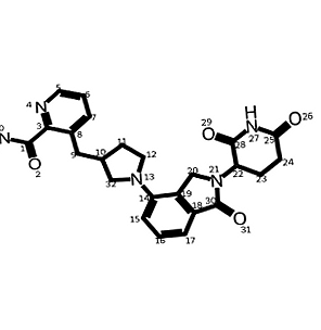 NC(=O)c1ncccc1CC1CCN(c2cccc3c2CN(C2CCC(=O)NC2=O)C3=O)C1